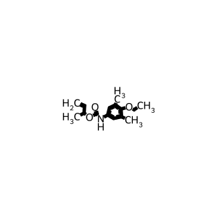 C=CC(C)OC(=O)Nc1cc(C)c(OCC)c(C)c1